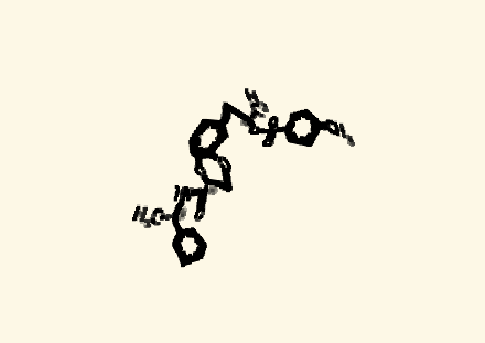 Cc1ccc(S(=O)(=O)O[C@@H](C)Cc2ccc3c(c2)OC[C@H](C(=O)N[C@@H](C)c2ccccc2)O3)cc1